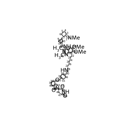 CNCc1ccccc1-c1csc([C@H](C)Nc2nc(C)nc3c(CCCCCCCNCc4ccc(COc5cccc6c5CN(C5CCC(=O)NC5=O)C6=O)cc4)c(OC)c(OC)cc23)c1